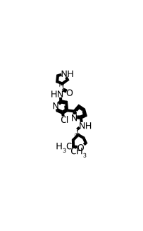 CC1(C)C[C@H](CNc2cccc(-c3cc(NC(=O)[C@@H]4CCNC4)ncc3Cl)n2)CCO1